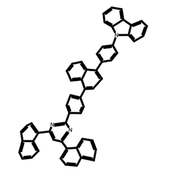 c1ccc2c(-c3cc(-c4cccc5ccccc45)nc(-c4ccc(-c5ccc(-c6ccc(-n7c8ccccc8c8ccccc87)cc6)c6ccccc56)cc4)n3)cccc2c1